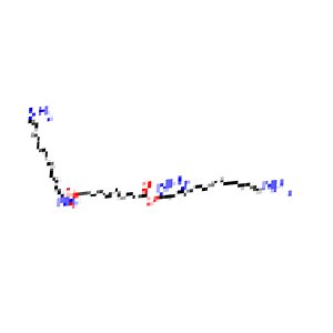 NCCCCCCCCCCCC(N)OC(=O)CCCCCCCCC(=O)OC(N)CCCCCCCCCCCN